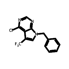 FC(F)(F)c1cn(Cc2ccccc2)c2ncnc(Cl)c12